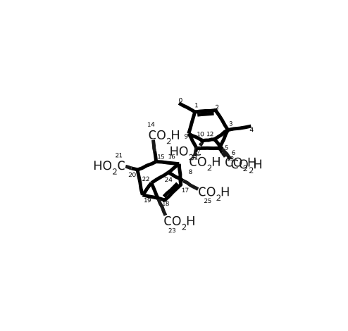 CC1=CC2(C)C(C(=O)O)C(C(=O)O)C1C(C(=O)O)C2C(=O)O.O=C(O)C1C2C=CC(C1C(=O)O)C(C(=O)O)C2C(=O)O